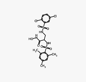 Cc1cc(C)c(S(=O)(=O)NC(CNS(=O)(=O)c2cc(Cl)ccc2Cl)C(=O)NO)c(C)c1